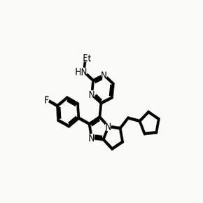 CCNc1nccc(-c2c(-c3ccc(F)cc3)nc3n2C(CC2CCCC2)CC3)n1